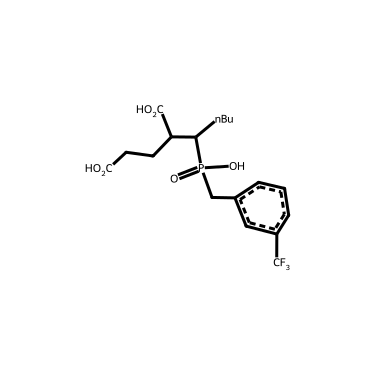 CCCCC(C(CCC(=O)O)C(=O)O)P(=O)(O)Cc1cccc(C(F)(F)F)c1